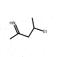 CCC(C)CC(C)=N